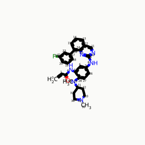 C=CC(=O)Nc1cc(Nc2ncc3cccc(-c4cccc(F)c4)c3n2)ccc1N(C)C1CCN(C)CC1